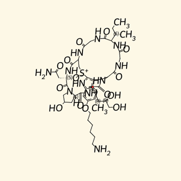 CC[C@H](C)C1NC(=O)CNC(=O)C2Cc3c([nH]c4cc(OCCCCCCN)ccc34)[S+]([O-])CC(NC(=O)CNC1=O)C(=O)N[C@@H](CC(N)=O)C(=O)N1CC(O)C[C@H]1C(=O)N[C@@H]([C@@H](C)[C@@H](O)CO)C(=O)N2